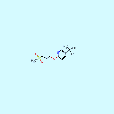 CCC(C)(C)c1ccc(OCCCS(C)(=O)=O)nc1